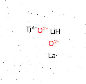 [La].[LiH].[O-2].[O-2].[Ti+4]